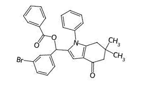 CC1(C)CC(=O)c2cc(C(OC(=O)c3ccccc3)c3cccc(Br)c3)n(-c3ccccc3)c2C1